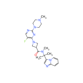 CN1CCN(c2ncc(F)c(N3CC(C(=O)N(C)C(C)(C)c4cnc5ccccn45)C3)n2)CC1